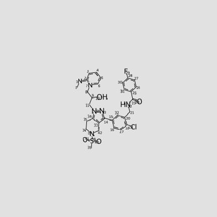 C/N=c1/ccccn1CC(O)Cn1nc(-c2ccc(Cl)c(CNC(=O)c3ccc(F)cc3)c2)c2c1CCN(S(C)(=O)=O)C2